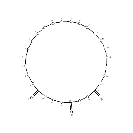 O=C1CCCCCCCCCCCCCCCCCCCCC(=O)OOC(=O)OCO1